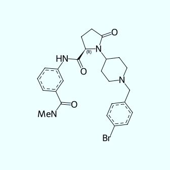 CNC(=O)c1cccc(NC(=O)[C@H]2CCC(=O)N2C2CCN(Cc3ccc(Br)cc3)CC2)c1